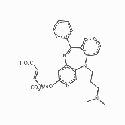 COc1cc2c(cn1)N(CCCN(C)C)c1ccccc1C(c1ccccc1)=N2.O=C(O)C=CC(=O)O